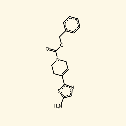 Nc1cnc(C2=CCN(C(=O)OCc3ccccc3)CC2)s1